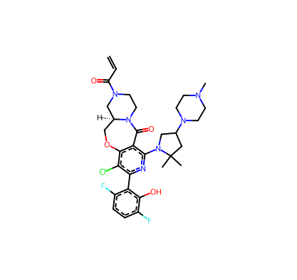 C=CC(=O)N1CCN2C(=O)c3c(N4CC(N5CCN(C)CC5)CC4(C)C)nc(-c4c(F)ccc(F)c4O)c(Cl)c3OC[C@H]2C1